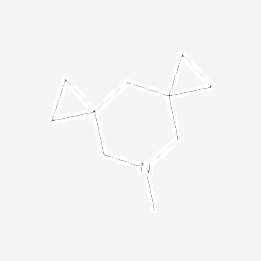 CN1CC2(CC2)CC2(CC2)C1